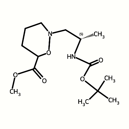 COC(=O)C1CCCN(C[C@H](C)NC(=O)OC(C)(C)C)O1